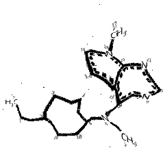 CCC1CCC(N(C)c2ncnc3c2ccn3C)CC1